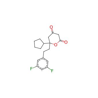 O=C1CC(=O)OC(CCc2cc(F)[c]c(F)c2)(C2CCCC2)C1